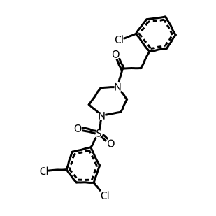 O=C(Cc1ccccc1Cl)N1CCN(S(=O)(=O)c2cc(Cl)cc(Cl)c2)CC1